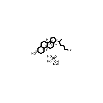 CC(C)CCCC(C)[C@H]1CC[C@H]2[C@@H]3CC=C4C[C@@H](O)CC[C@]4(C)[C@H]3CC[C@]12C.O=P(O)(O)O.[NaH]